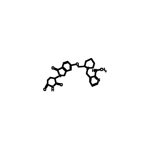 CNc1ncccc1CN1CCCCC1COc1ccc2c(c1)CN(C1CCC(=O)NC1=O)C2=O